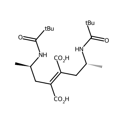 C[C@H](C/C(C(=O)O)=C(/C[C@@H](C)NC(=O)C(C)(C)C)C(=O)O)NC(=O)C(C)(C)C